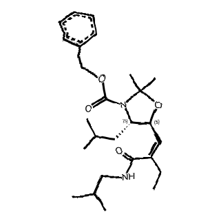 CCC(=C[C@@H]1OC(C)(C)N(C(=O)OCc2ccccc2)[C@H]1CC(C)C)C(=O)NCC(C)C